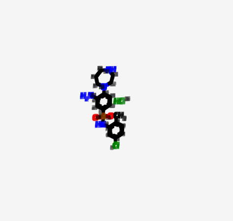 Cc1ccc(Cl)cc1NS(=O)(=O)c1ccc(N2CCCNCC2)c(N)c1.Cl